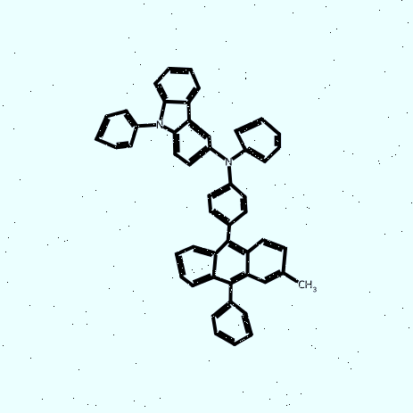 Cc1ccc2c(-c3ccc(N(c4ccccc4)c4ccc5c(c4)c4ccccc4n5-c4ccccc4)cc3)c3ccccc3c(-c3ccccc3)c2c1